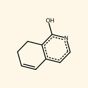 Oc1nccc2c1CCC=C2